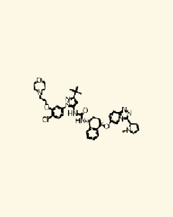 CN1CCCC1c1nnc2ccc(O[C@@H]3CC[C@H](NC(=O)Nc4cc(C(C)(C)C)nn4-c4ccc(Cl)c(OCCN5CCOCC5)c4)c4ccccc43)cn12